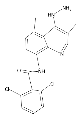 Cc1cnc2c(NC(=O)c3c(Cl)cccc3Cl)ccc(C)c2c1NN